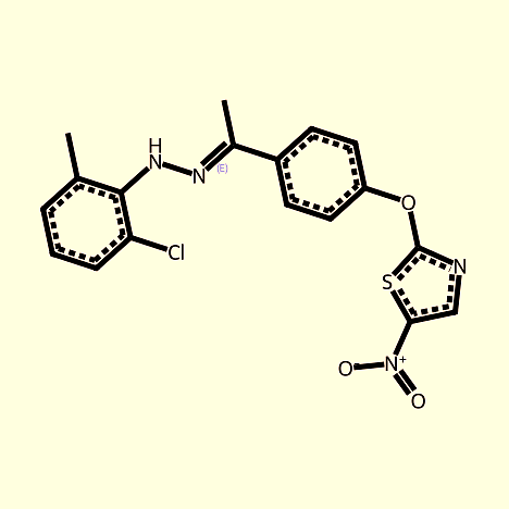 C/C(=N\Nc1c(C)cccc1Cl)c1ccc(Oc2ncc([N+](=O)[O-])s2)cc1